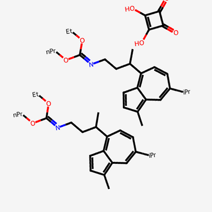 CCCOC(=NCCC(C)c1ccc(C(C)C)cc2c(C)ccc1-2)OCC.CCCOC(=NCCC(C)c1ccc(C(C)C)cc2c(C)ccc1-2)OCC.O=c1c(O)c(O)c1=O